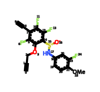 C#CCOc1c(F)c(C#C)c(F)c(F)c1[S+]([O-])Nc1ccc(OC)c(F)c1